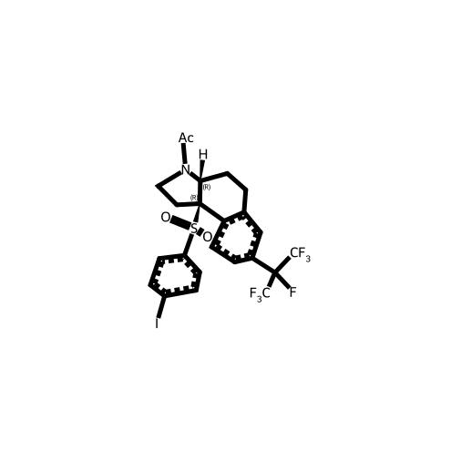 CC(=O)N1CC[C@@]2(S(=O)(=O)c3ccc(I)cc3)c3ccc(C(F)(C(F)(F)F)C(F)(F)F)cc3CC[C@@H]12